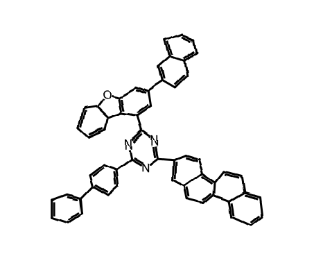 C1=CC2Oc3cc(-c4ccc5ccccc5c4)cc(-c4nc(-c5ccc(-c6ccccc6)cc5)nc(-c5ccc6c(ccc7c8ccccc8ccc67)c5)n4)c3C2C=C1